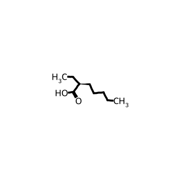 CCCCC[C@H](CC)C(=O)O